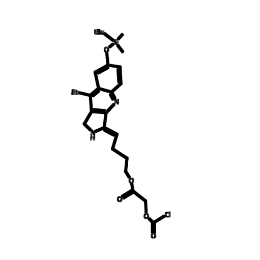 CCc1c2c(nc3ccc(O[Si](C)(C)C(C)(C)C)cc13)/C(=C/CCCOC(=O)COC(=O)Cl)NC2